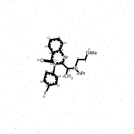 CCCN(CCOC)C(C)c1nc2ccccc2c(=O)n1-c1ccc(F)cc1